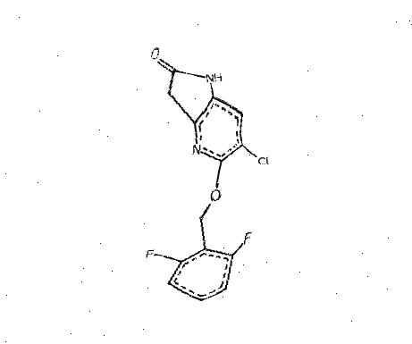 O=C1Cc2nc(OCc3c(F)cccc3F)c(Cl)cc2N1